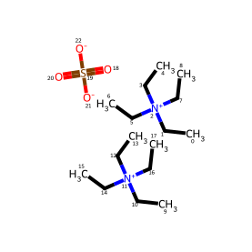 CC[N+](CC)(CC)CC.CC[N+](CC)(CC)CC.O=S(=O)([O-])[O-]